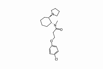 CN(C(=O)CCOc1ccc(Cl)cc1)[C@@H]1CCCC[C@H]1N1CCCC1